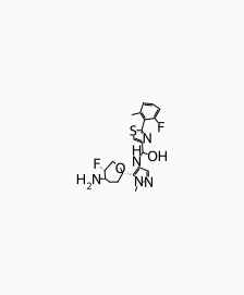 Cc1cccc(F)c1-c1nc(C(O)Nc2cnn(C)c2[C@@H]2CC[C@@H](N)[C@H](F)CO2)cs1